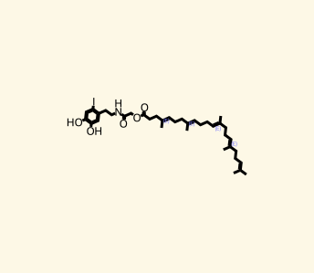 CC(C)=CCC/C(C)=C/CC/C(C)=C/CC/C=C(\C)CC/C=C(\C)CCC(=O)OCC(=O)NCCc1cc(O)c(O)cc1I